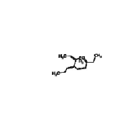 C/C=C(/C)C(=CCC)/C=C\C(=O)CC